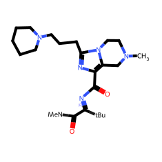 CNC(=O)/C(=N/C(=O)c1nc(CCCN2CCCCC2)n2c1CN(C)CC2)C(C)(C)C